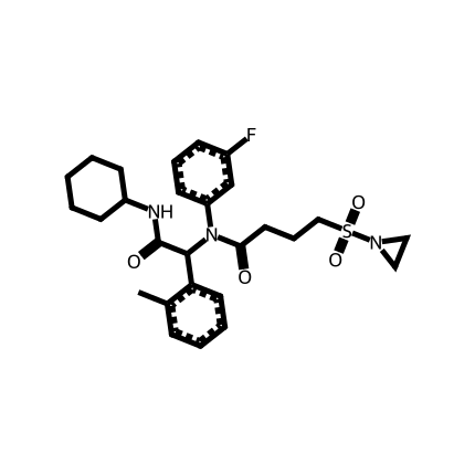 Cc1ccccc1C(C(=O)NC1CCCCC1)N(C(=O)CCCS(=O)(=O)N1CC1)c1cccc(F)c1